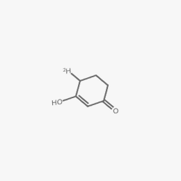 [2H]C1CCC(=O)C=C1O